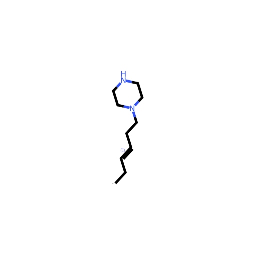 [CH2]C/C=C/CCN1CCNCC1